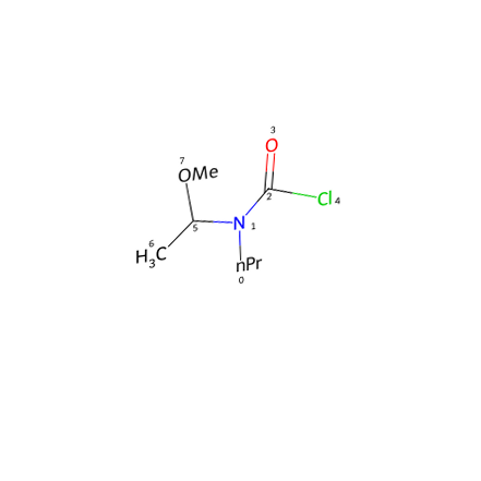 CCCN(C(=O)Cl)C(C)OC